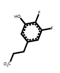 CCOC(=O)CCc1cc(O)c(F)c(F)c1